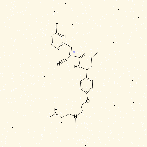 C=C(NC(CCC)c1ccc(OCCN(C)CCNC)cc1)/C(C#N)=C/c1cccc(F)n1